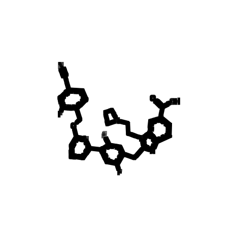 N#Cc1ccc(COc2cccc(-c3cc(F)c(Cc4nc5ccc(C(=O)O)cc5n4CCN4CCC4)cc3F)n2)c(F)c1